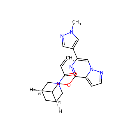 C=CC(=O)N1C[C@H]2C[C@@H](C1)C2COc1nc(-c2cnn(C)c2)cn2nccc12